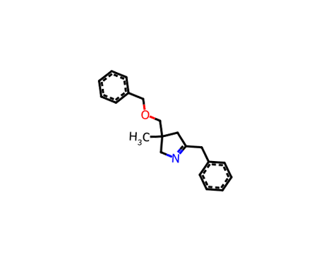 CC1(COCc2ccccc2)CN=C(Cc2ccccc2)C1